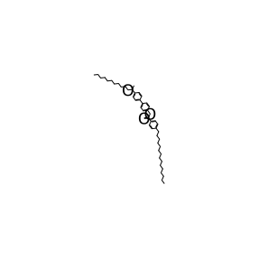 CCCCCCCCCCCCCCCc1ccc(C(=O)Oc2ccc(-c3ccc(C(C)OCCCCCCCCCC)cc3)cc2)cc1